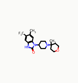 Cc1cc2c(cc1C(F)(F)F)[nH]c(=O)n2C1CCN(C2(C)CCOCC2)CC1